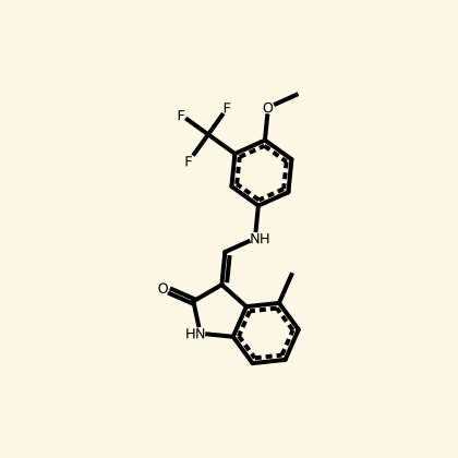 COc1ccc(N/C=C2/C(=O)Nc3cccc(C)c32)cc1C(F)(F)F